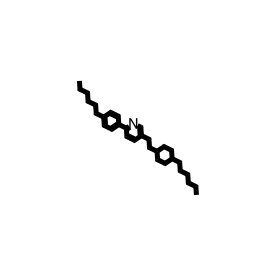 CCCCCCc1ccc(-c2ccc(CCC3CCC(CCCCCC)CC3)cn2)cc1